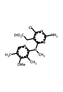 CCOC(=O)Cc1c(Cl)nc(N)nc1N(C)c1ncc(C)c(OC)c1C